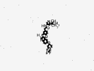 Cc1cc(CC(=O)Nc2cnn(C(C)(C)C)c2)ccc1Oc1ccnc2ccc(OC3CCN(CC(F)(F)F)CC3)cc12